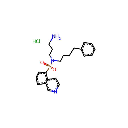 Cl.NCCCN(CCCCc1ccccc1)S(=O)(=O)c1cccc2cnccc12